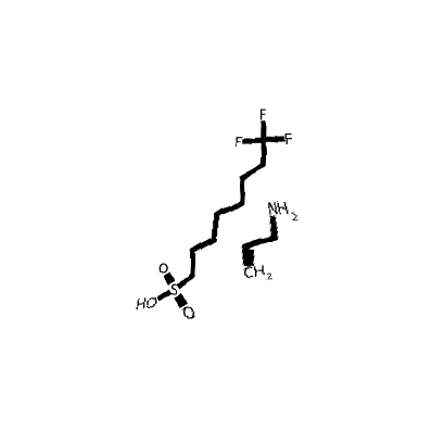 C=CCN.O=S(=O)(O)CCCCCCCC(F)(F)F